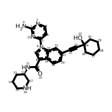 Nc1nccc(-n2cc(C(=O)N[C@@H]3CCCNC3)c3ccc(C#CC4(O)CCCCC4)cc32)n1